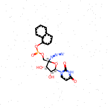 [N-]=[N+]=N[C@]1(CO[P](=O)Oc2cccc3ccccc23)O[C@@H](n2ccc(=O)[nH]c2=O)[C@H](O)[C@@H]1O